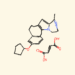 CC1=NCCn2c1cc1c2-c2ccc(OC3CCCC3)cc2CC1.O=C(O)C=CC(=O)O